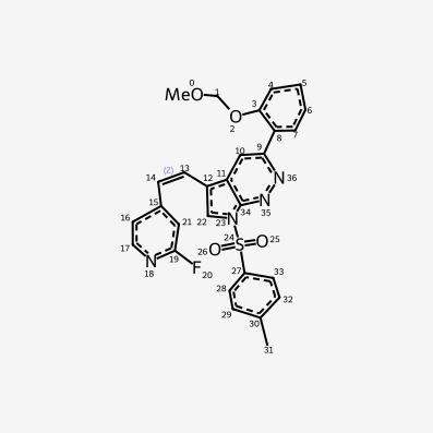 COCOc1ccccc1-c1cc2c(/C=C\c3ccnc(F)c3)cn(S(=O)(=O)c3ccc(C)cc3)c2nn1